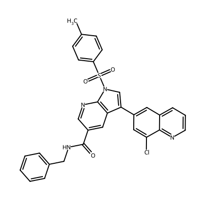 Cc1ccc(S(=O)(=O)n2cc(-c3cc(Cl)c4ncccc4c3)c3cc(C(=O)NCc4ccccc4)cnc32)cc1